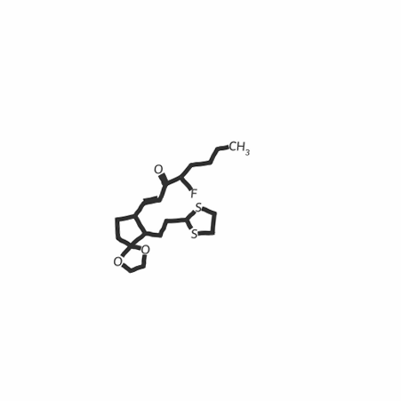 CCCCC(F)C(=O)C=CC1CCC2(OCCO2)C1CCC1SCCS1